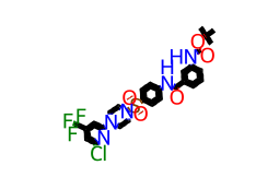 CC(C)(C)OC(=O)Nc1cccc(C(=O)Nc2ccc(S(=O)(=O)N3CCN(c4cc(C(F)(F)F)cc(Cl)n4)CC3)cc2)c1